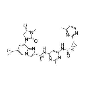 Cc1ccnc(C2C[C@@H]2C(=O)Nc2cc(N[C@@H](C)c3cn4cc(C5CC5)cc(N5CC(=O)N(C)C5=O)c4n3)nc(C)n2)n1